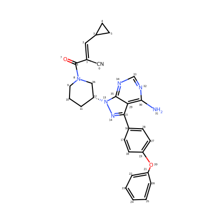 N#C/C(=C\C1CC1)C(=O)N1CCC[C@@H](n2nc(-c3ccc(Oc4ccccc4)cc3)c3c(N)ncnc32)C1